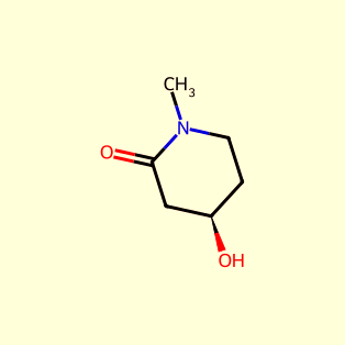 CN1CC[C@@H](O)CC1=O